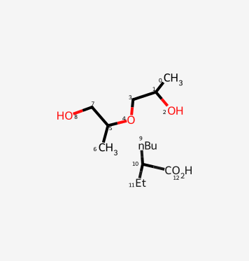 CC(O)COC(C)CO.CCCCC(CC)C(=O)O